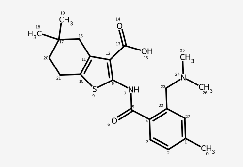 Cc1ccc(C(=O)Nc2sc3c(c2C(=O)O)CC(C)(C)CC3)c(CN(C)C)c1